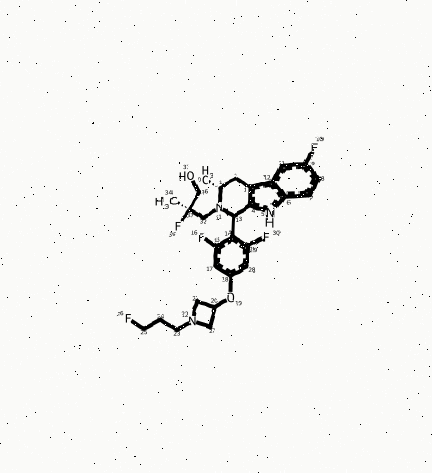 C[C@@H]1Cc2c([nH]c3ccc(F)cc23)C(c2c(F)cc(OC3CN(CCCF)C3)cc2F)N1C[C@@](C)(F)CO